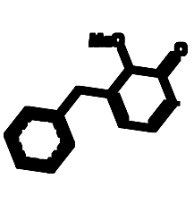 COC1C(=O)[C]=CC=C1Cc1ccccc1